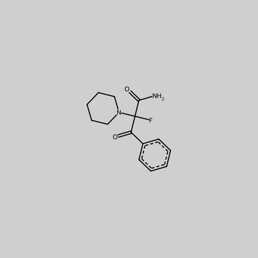 NC(=O)C(F)(C(=O)c1ccccc1)N1CCCCC1